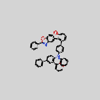 c1ccc(-c2ccc(N(c3ccccc3)c3ccc(-c4cccc5oc6cc7oc(-c8ccccc8)nc7cc6c45)cc3)c(-c3ccccc3)c2)cc1